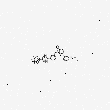 CC1(C)OB(c2cnc(-c3cccc(Cn4nc(-c5cccc(N)c5)ccc4=O)c3)nc2)OC1(C)C